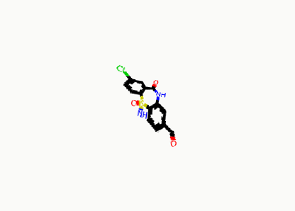 N=S1(=O)c2ccc(C=O)cc2NC(=O)c2cc(Cl)ccc21